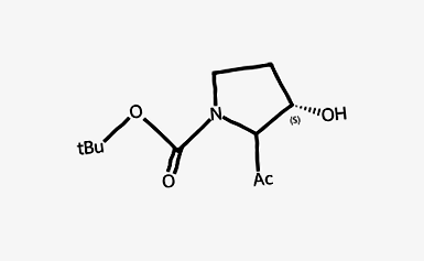 CC(=O)C1[C@@H](O)CCN1C(=O)OC(C)(C)C